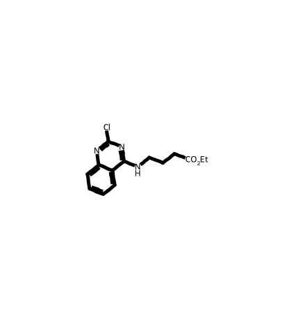 CCOC(=O)CCCNc1nc(Cl)nc2ccccc12